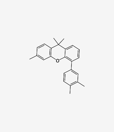 Cc1ccc2c(c1)Oc1c(-c3ccc(C)c(C)c3)cccc1C2(C)C